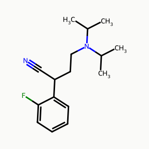 CC(C)N(CCC(C#N)c1ccccc1F)C(C)C